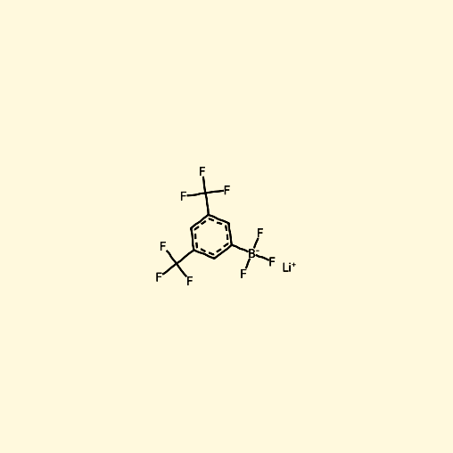 F[B-](F)(F)c1cc(C(F)(F)F)cc(C(F)(F)F)c1.[Li+]